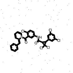 O=C(Nc1ccc(Cl)c(C(=O)N2C=CC=CC2=Cc2ccccc2)c1)C1C(c2cc(Cl)cc(Cl)c2)C1(Cl)Cl